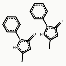 Cc1cc(=O)n(-c2ccccc2)[nH]1.Cc1cc(=O)n(-c2ccccc2)[nH]1